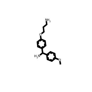 COc1ccc(C(N)c2ccc(OCCCN)cc2)cc1